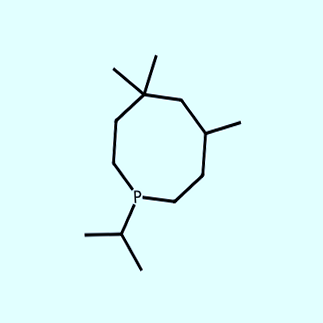 CC1CCP(C(C)C)CCC(C)(C)C1